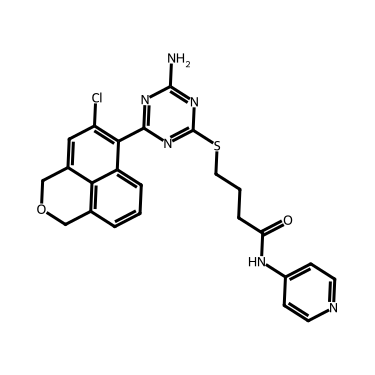 Nc1nc(SCCCC(=O)Nc2ccncc2)nc(-c2c(Cl)cc3c4c(cccc24)COC3)n1